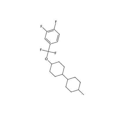 CC1CCC(C2CCC(OC(F)(F)c3ccc(F)c(F)c3)CC2)CC1